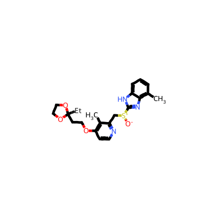 CCC1(CCOc2ccnc(C[S+]([O-])c3nc4c(C)cccc4[nH]3)c2C)OCCO1